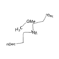 CCCCCCCCCCCCNCCCCCCCCCCCC.COC